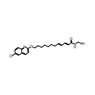 CC(C)CNC(=O)C=CC=CCCCCCCCOc1ccc2cc(Cl)ccc2n1